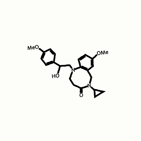 COc1ccc(C(O)CN2CCC(=O)N(C3CC3)Cc3cc(OC)ccc32)cc1